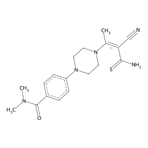 C/C(=C(\C#N)C(N)=S)N1CCN(c2ccc(C(=O)N(C)C)cc2)CC1